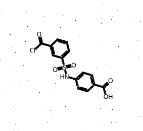 O=C(O)c1ccc(NS(=O)(=O)c2cccc(C(=O)Cl)c2)cc1